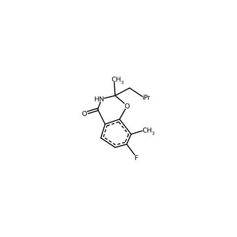 Cc1c(F)ccc2c1OC(C)(CC(C)C)NC2=O